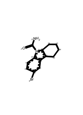 NC(=O)n1c2c(c3cc(Br)ccc31)CCC[C]2